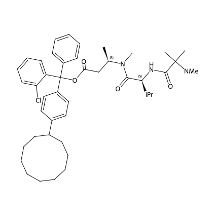 CNC(C)(C)C(=O)N[C@H](C(=O)N(C)[C@H](C)CC(=O)OC(c1ccccc1)(c1ccc(C2CCCCCCCCC2)cc1)c1ccccc1Cl)C(C)C